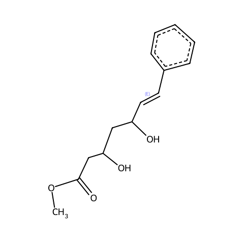 COC(=O)CC(O)CC(O)/C=C/c1ccccc1